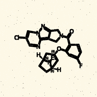 CCN1[C@@H]2CC[C@H]1C[C@@H](Oc1cc(F)ccc1C(=O)N1Cc3nn4cc(Cl)cnc4c3C1)C2